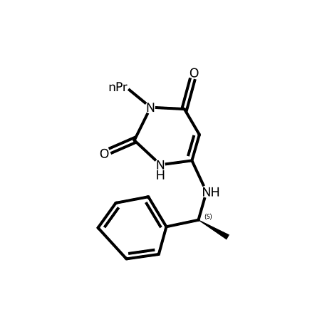 CCCn1c(=O)cc(N[C@@H](C)c2ccccc2)[nH]c1=O